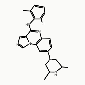 Cc1cccc(Cl)c1Nc1nc2ccc(N3CC(C)NC(C)C3)cc2n2cncc12